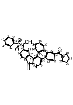 CN(c1ccc2[nH]c3ncc(-c4ccc(C(=O)N5CCCC5)cc4)c(-c4ccccc4)c3c2c1)S(=O)(=O)c1ccccc1